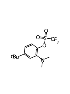 CN(C)c1cc(C(C)(C)C)ccc1OS(=O)(=O)C(F)(F)F